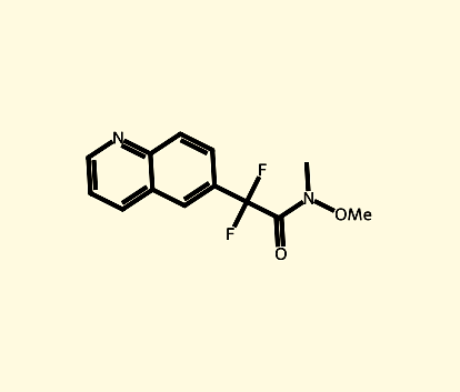 CON(C)C(=O)C(F)(F)c1ccc2ncccc2c1